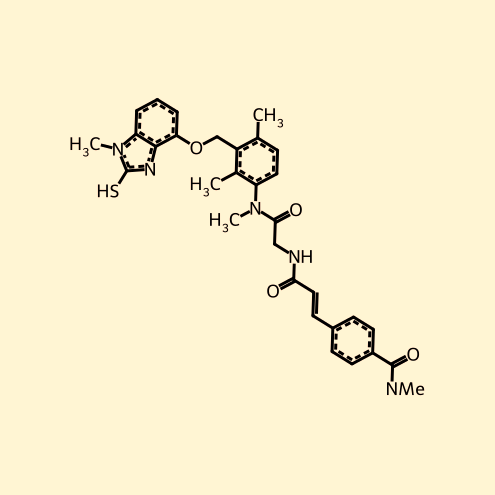 CNC(=O)c1ccc(/C=C/C(=O)NCC(=O)N(C)c2ccc(C)c(COc3cccc4c3nc(S)n4C)c2C)cc1